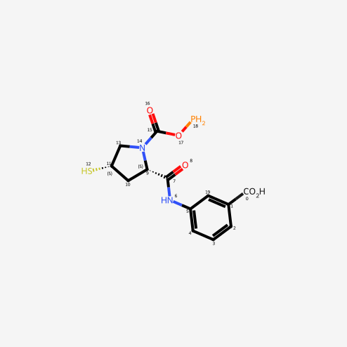 O=C(O)c1cccc(NC(=O)[C@@H]2C[C@H](S)CN2C(=O)OP)c1